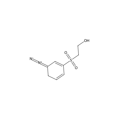 [N-]=[N+]=C1C=C(S(=O)(=O)CCO)C=CC1